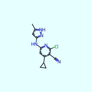 Cc1cc(Nc2cc(C3CC3)c(C#N)c(Cl)n2)n[nH]1